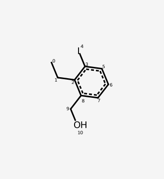 CCc1c(I)cccc1CO